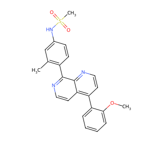 COc1ccccc1-c1ccnc2c(-c3ccc(NS(C)(=O)=O)cc3C)nccc12